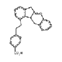 COc1ccccc1CC1CCc2cccc(CCc3ccc(C(=O)O)cc3)c21